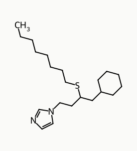 CCCCCCCCSC(CCn1ccnc1)CC1CCCCC1